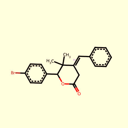 CC1(C)/C(=C/c2ccccc2)CC(=O)OC1c1ccc(Br)cc1